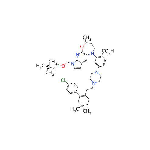 C[C@H]1CCN(c2cc(N3CCN(CCC4=C(c5ccc(Cl)cc5)CC(C)(C)CC4)CC3)ccc2C(=O)O)c2cc3ccn(COCC[Si](C)(C)C)c3nc2O1